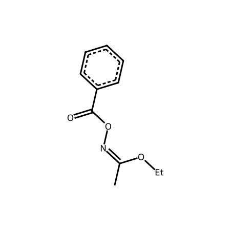 CCO/C(C)=N\OC(=O)c1ccccc1